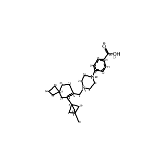 CC12CC(C3=C(CN4CCN(c5ccc(C(=O)O)cc5)CC4)CCC4(CCC4)C3)(C1)C2